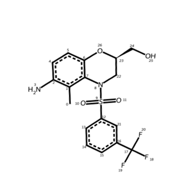 Cc1c(N)ccc2c1N(S(=O)(=O)c1cccc(C(F)(F)F)c1)C[C@H](CO)O2